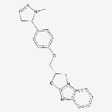 CN1N=CCC1c1ccc(OC[C@@H]2Cn3c(nc4ccccc43)O2)cc1